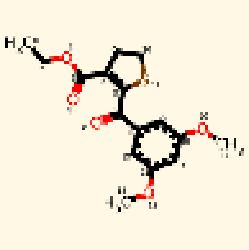 CCOC(=O)C1=C(C(=O)c2cc(OC)cc(OC)c2)SCC1